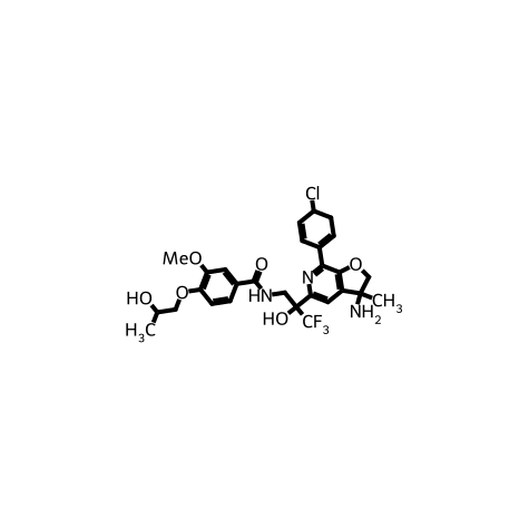 COc1cc(C(=O)NCC(O)(c2cc3c(c(C4=CCC(Cl)C=C4)n2)OCC3(C)N)C(F)(F)F)ccc1OCC(C)O